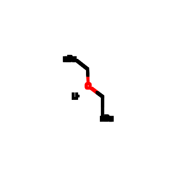 CCCCCOCCCCC.[Li]